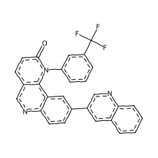 O=c1ccc2cnc3ccc(-c4cnc5ccccc5c4)cc3c2n1-c1cccc(C(F)(F)F)c1